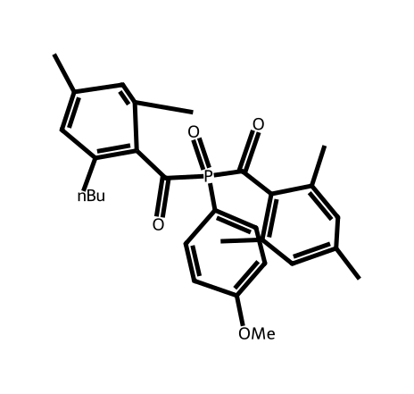 CCCCc1cc(C)cc(C)c1C(=O)P(=O)(C(=O)c1c(C)cc(C)cc1C)c1ccc(OC)cc1